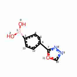 OB(O)c1ccc(-c2nnco2)cc1